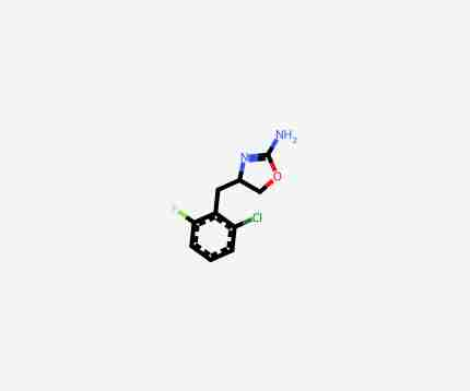 NC1=NC(Cc2c(F)cccc2Cl)CO1